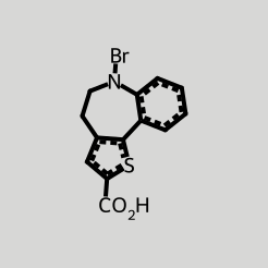 O=C(O)c1cc2c(s1)-c1ccccc1N(Br)CC2